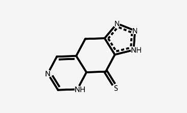 S=C1c2[nH]nnc2CC2=CN=CNC12